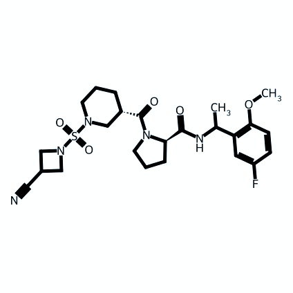 COc1ccc(F)cc1C(C)NC(=O)[C@H]1CCCN1C(=O)[C@H]1CCCN(S(=O)(=O)N2CC(C#N)C2)C1